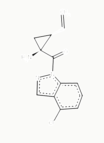 C=C[C@H]1C[C@@]1(N)C(=O)n1ncc2c(Cl)cccc21